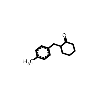 Cc1ccc(CC2CCCCC2=O)cc1